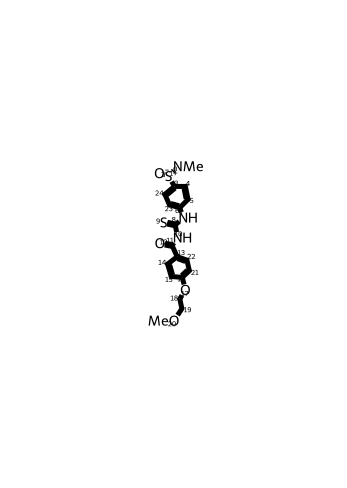 CN[S+]([O-])c1ccc(NC(=S)NC(=O)c2ccc(OCCOC)cc2)cc1